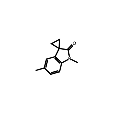 Cc1ccc2c(c1)C1(CC1)C(=O)N2C